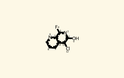 Oc1nc(F)c2ncccc2c1Cl